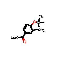 COC(=O)c1ccc(O[Si](C)(C)C(C)(C)C)c(C=O)c1